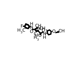 C#CCO[C@H]1CC[C@@H](NC(=O)C(O)c2c(C)c(C(=O)Nc3ccc(F)c(C)c3)c(C)n2C)CC1